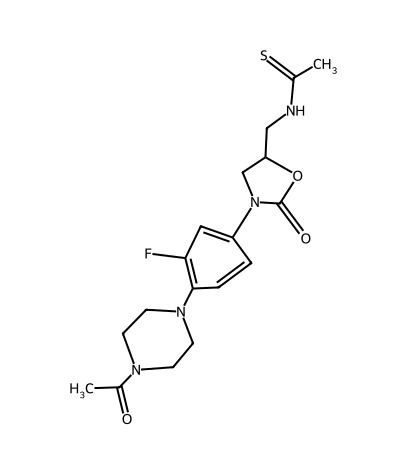 CC(=O)N1CCN(c2ccc(N3CC(CNC(C)=S)OC3=O)cc2F)CC1